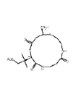 CC(=O)OCC(C)(C)[C@H]1OC(=O)CC(C(=O)O)SCCNC(=O)CCNC1=O